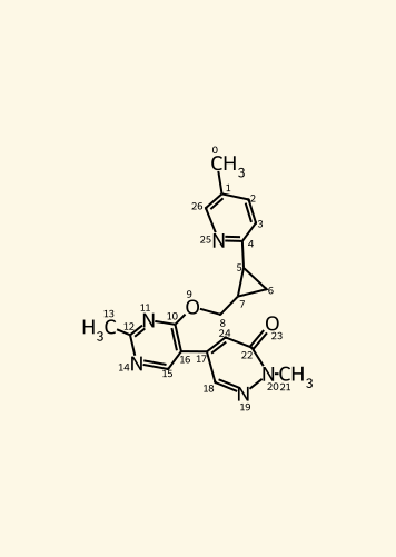 Cc1ccc(C2CC2COc2nc(C)ncc2-c2cnn(C)c(=O)c2)nc1